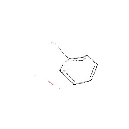 CC(=O)c1ccccc1.O=CO